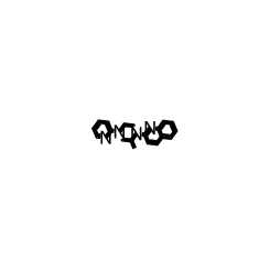 CC1CN(c2ccccn2)CCN1c1ccc2ccccc2n1